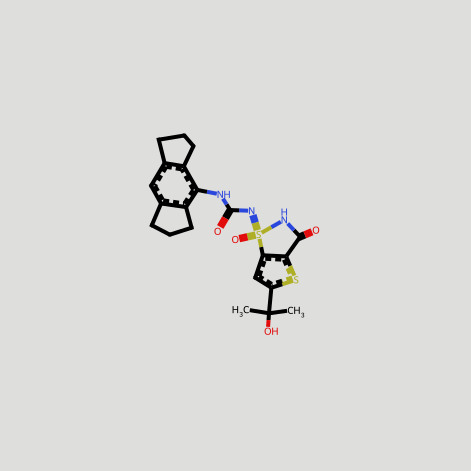 CC(C)(O)c1cc2c(s1)C(=O)NS2(=O)=NC(=O)Nc1c2c(cc3c1CCC3)CCC2